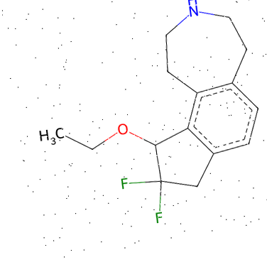 CCOC1c2c(ccc3c2CCNCC3)CC1(F)F